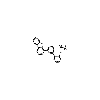 CC1(C)OB(c2ccccc2-c2cccc(-c3cccc4c3sc3ccccc34)c2)OC1(C)C